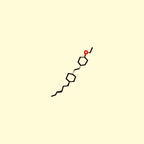 CC/C=C/CC[C@H]1CC[C@H](CC[C@H]2CC[C@H](OCC)CC2)CC1